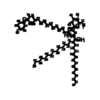 CCCCCCCCCCCCCCC(CCCCCCCCCCCCCC)[C@@H](O)[C@H](CO[C@H]1OC(CF)[C@@H](C)[C@H](C)C1C)NC(=O)CCCCCCCCCCc1ccc(Oc2ccc(F)cc2)cc1